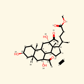 C#C.COC(=O)CC[C@@H](C)[C@H]1CCC2C3C(C[C@@](O)(C(C)=O)[C@@]21C)[C@@]1(C)CC[C@H](O)C[C@H]1C[C@]3(O)C(C)=O